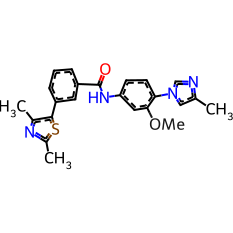 COc1cc(NC(=O)c2cccc(-c3sc(C)nc3C)c2)ccc1-n1cnc(C)c1